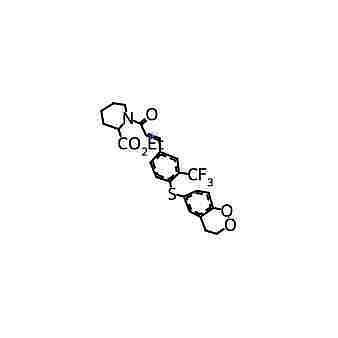 CCOC(=O)C1CCCCN1C(=O)/C=C/c1ccc(Sc2ccc3c(c2)CCOO3)c(C(F)(F)F)c1